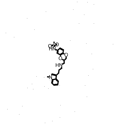 Cn1cc(CCCNCC2COc3ccc(NS(C)(=O)=O)cc3O2)c2ccccc21